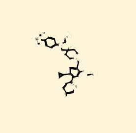 CCOc1cc(-c2ccc(F)cn2)c(C2CC2)cc1CN1CCC2(CC1)CN(c1ccc(P(=O)(O)O)cc1)C(O)O2